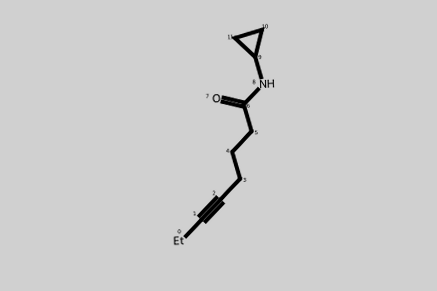 CCC#CCCCC(=O)NC1CC1